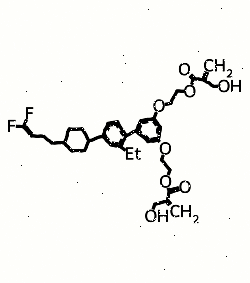 C=C(CO)C(=O)OCCOc1cc(OCCOC(=O)C(=C)CO)cc(-c2ccc(C3CCC(CCC=C(F)F)CC3)cc2CC)c1